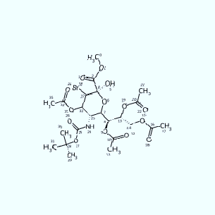 COC(=O)[C@@]1(O)OC([C@H](OC(C)=O)[C@@H](COC(C)=O)OC(C)=O)[C@H](NC(=O)OC(C)(C)C)C(OC(C)=O)C1Br